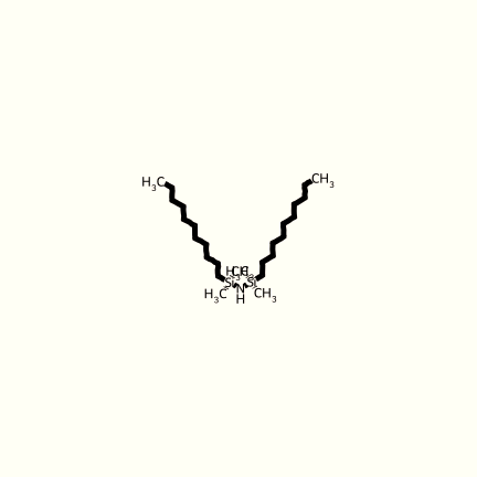 CCCCCCCCCCC[Si](C)(C)N[Si](C)(C)CCCCCCCCCCC